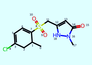 CC1CC(Cl)=CC=C1S(=O)(=O)Cc1cc(=O)n(C)[nH]1